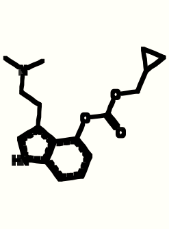 CN(C)CCc1c[nH]c2cccc(OC(=O)OCC3CC3)c12